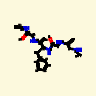 C=C(CNC(C)C)NCC(=O)N[C@@H](Cc1ccccc1)C(=C)NCC(=O)NC(C)(C)C